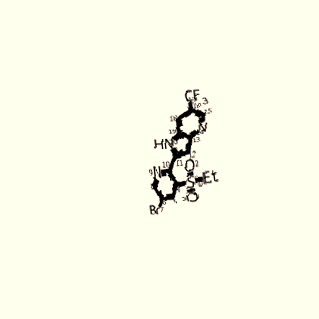 CCS(=O)(=O)c1cc(Br)cnc1-c1cc2ncc(C(F)(F)F)cc2[nH]1